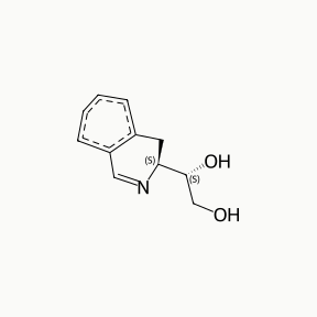 OC[C@@H](O)[C@@H]1Cc2ccccc2C=N1